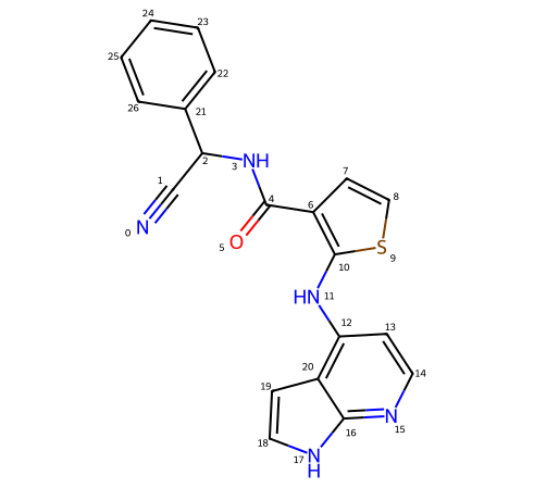 N#CC(NC(=O)c1ccsc1Nc1ccnc2[nH]ccc12)c1ccccc1